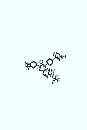 O=C1N(c2ccc3ncsc3c2)Cc2cnc(NCC(F)(F)F)nc2N1c1ccc(-c2nc[nH]n2)cc1